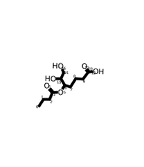 CCCC(=O)OC(CCCC(=O)O)C(O)CO